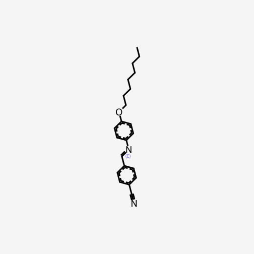 CCCCCCCCOc1ccc(/N=C/c2ccc(C#N)cc2)cc1